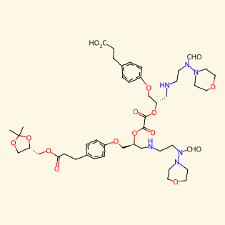 CC1(C)OC[C@@H](COC(=O)CCc2ccc(OC[C@H](CNCCN(C=O)N3CCOCC3)OC(=O)C(=O)O[C@@H](CNCCN(C=O)N3CCOCC3)COc3ccc(CCC(=O)O)cc3)cc2)O1